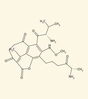 CONc1c(C(=O)[C@@H](N)C(C)C)c2c3c(C)c(c(=O)oc3c1CCCC(=O)[C@H](C)N)C(=O)CCC2=O